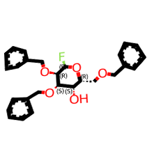 O[C@@H]1[C@H](OCc2ccccc2)[C@@H](OCc2ccccc2)[C@@H](F)O[C@@H]1COCc1ccccc1